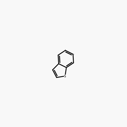 [c]1[c]cc2sccc2c1